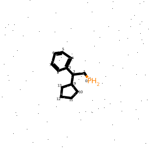 PCC(c1ccccc1)C1CCCC1